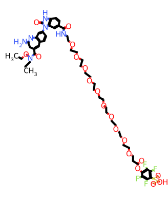 CCCN(OCC)C(=O)C1=Cc2ccc(-n3c(=O)[nH]c4ccc(C(=O)NCCOCCOCCOCCOCCOCCOCCOCCOCCOCCOCCC(=O)Oc5c(F)c(F)c(S(=O)(=O)O)c(F)c5F)cc43)cc2N=C(N)C1